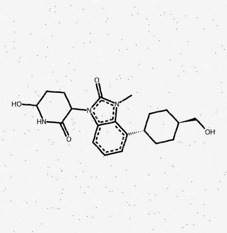 Cn1c(=O)n(C2CCC(O)NC2=O)c2cccc([C@H]3CC[C@H](CO)CC3)c21